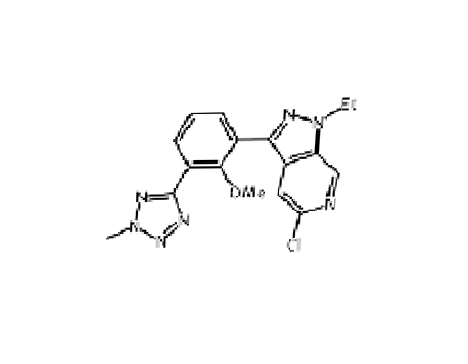 CCn1nc(-c2cccc(-c3nnn(C)n3)c2OC)c2cc(Cl)ncc21